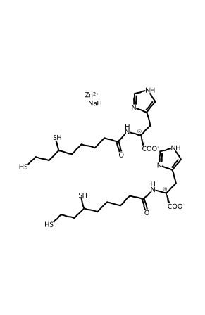 O=C(CCCCC(S)CCS)N[C@@H](Cc1c[nH]cn1)C(=O)[O-].O=C(CCCCC(S)CCS)N[C@@H](Cc1c[nH]cn1)C(=O)[O-].[NaH].[Zn+2]